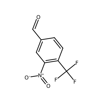 O=Cc1ccc(C(F)(F)F)c([N+](=O)[O-])c1